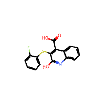 O=C(O)c1c(Sc2ccccc2F)c(O)nc2ccccc12